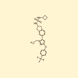 CCn1nc(Oc2ccc(C(F)(F)F)cc2)cc1-c1ccc2c(c1)CC(NS(=O)(=O)NC1CCC1)C2